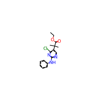 CCOC(=O)C(C)(C)c1cnc(Nc2ccccc2)nc1Cl